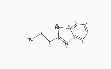 N#CSCc1nc2ccccc2[nH]1